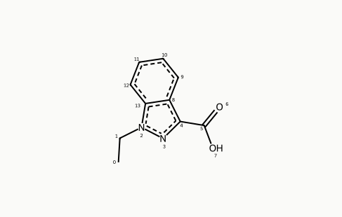 CCn1nc(C(=O)O)c2ccccc21